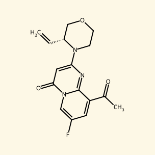 C=C[C@@H]1COCCN1c1cc(=O)n2cc(F)cc(C(C)=O)c2n1